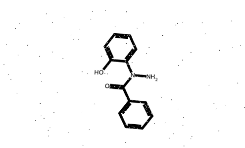 NN(C(=O)c1ccccc1)c1ccccc1O